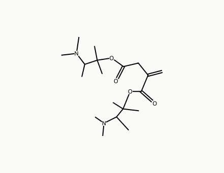 C=C(CC(=O)OC(C)(C)C(C)N(C)C)C(=O)OC(C)(C)C(C)N(C)C